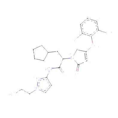 O=C(Nc1ccn(CCO)n1)C(CC1CCCC1)N1CC(Oc2c(F)cccc2F)=CC1=O